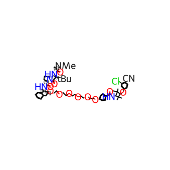 CN[C@@H](C)C(=O)N[C@H](C(=O)N1CCC[C@H]1C(=O)N[C@H]1c2ccccc2C[C@H]1OCCOCCOCCOCCOCCOc1ccc(C(=O)NC2C(C)(C)C(Oc3ccc(C#N)c(Cl)c3)C2(C)C)cc1)C(C)(C)C